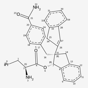 CC(C)C[C@H](N)C(=O)O[C@H]1c2ccccc2C[C@]1(Cc1ccc(C(N)=O)cc1)C1=Cc2ccccc2C1